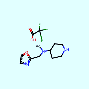 CC(=O)N(Cc1ncco1)C1CCNCC1.O=C(O)C(F)(F)F